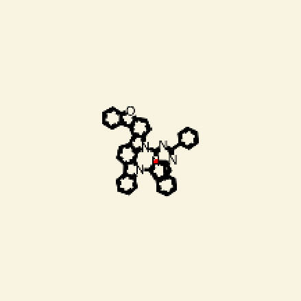 c1ccc(-c2nc(-c3ccccc3)nc(-n3c4ccc5oc6ccccc6c5c4c4ccc5c6ccccc6n(-c6ccccc6)c5c43)n2)cc1